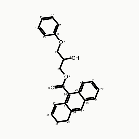 O=C(OCC(O)COc1ccccc1)c1c2c(cc3ccccc13)CCC=C2